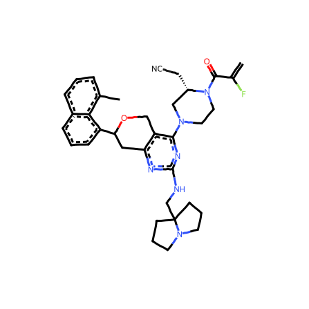 C=C(F)C(=O)N1CCN(c2nc(NCC34CCCN3CCC4)nc3c2COC(c2cccc4cccc(C)c24)C3)C[C@@H]1CC#N